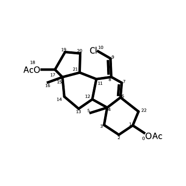 CC(=O)OC1CCC2(C)C(=C/C(=C/Cl)C3C2CCC2(C)C(OC(C)=O)CCC32)C1